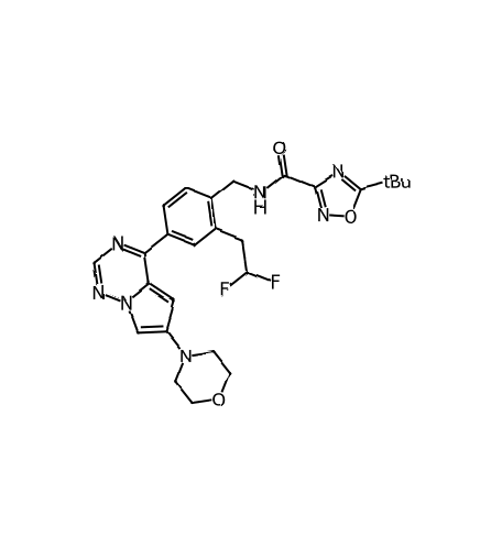 CC(C)(C)c1nc(C(=O)NCc2ccc(-c3ncnn4cc(N5CCOCC5)cc34)cc2CC(F)F)no1